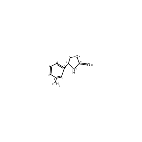 Cc1cccc([C@H]2COC(=O)N2)c1